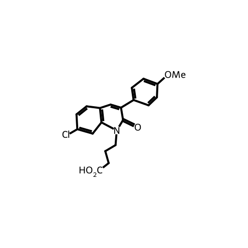 COc1ccc(-c2cc3ccc(Cl)cc3n(CCCC(=O)O)c2=O)cc1